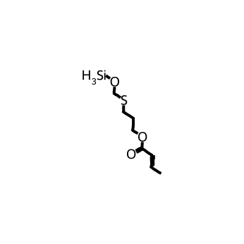 CC=CC(=O)OCCCSCO[SiH3]